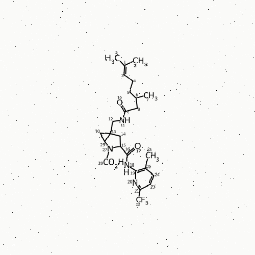 CC(C)=CCCC(C)CC(=O)NCC12CC(C(=O)Nc3nc(C(F)(F)F)ccc3C)N(C(=O)O)C1C2